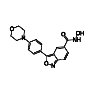 O=C(NO)c1ccc2noc(-c3ccc(N4CCOCC4)cc3)c2c1